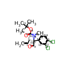 C=CC[C@@](C=O)(c1ccc(Cl)c(Cl)c1)N(C)C(=O)OC(C)(C)C